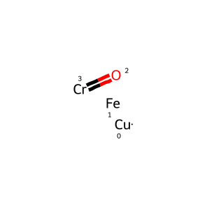 [Cu].[Fe].[O]=[Cr]